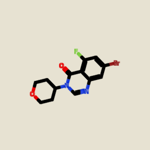 O=c1c2c(F)cc(Br)cc2ncn1C1CCOCC1